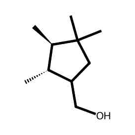 C[C@@H]1[C@@H](C)C(CO)CC1(C)C